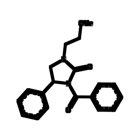 COCCN1CC(c2ccccc2)N(C(=O)c2ccccc2)C1=O